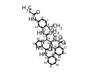 CCC(=O)Nc1ccc(OC)c(NC(=O)C(C2=Nc3ccccc3S(=O)(=O)N2C)n2ccnc2C(=O)Nc2ccccc2)c1